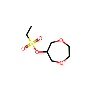 CCS(=O)(=O)OC1COCCOC1